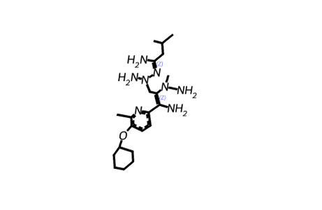 Cc1nc(/C(N)=C(\CN(N)/N=C(\N)CC(C)C)N(C)N)ccc1OC1CCCCC1